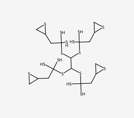 SC(S)(CC1CS1)SC(SC(S)(S)CC1CS1)C(SC(S)(S)CC1CS1)SC(S)(S)CC1CS1